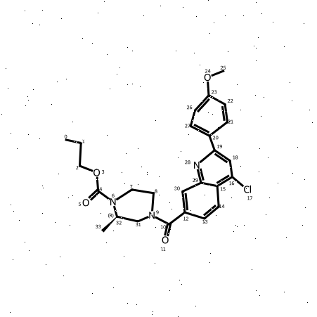 CCCOC(=O)N1CCN(C(=O)c2ccc3c(Cl)cc(-c4ccc(OC)cc4)nc3c2)C[C@H]1C